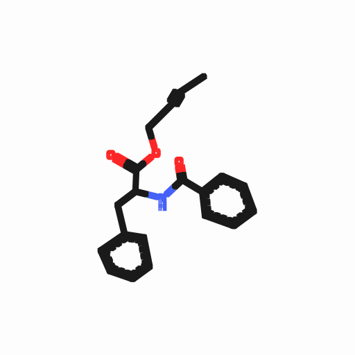 CC#CCOC(=O)C(Cc1ccccc1)NC(=O)c1ccccc1